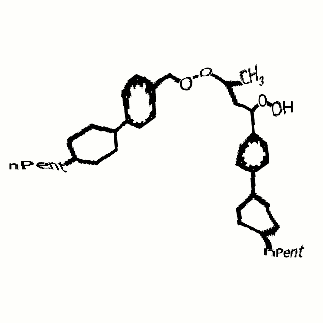 CCCCCC1CCC(c2ccc(COOC(C)CC(OO)c3ccc(C4CCC(CCCCC)CC4)cc3)cc2)CC1